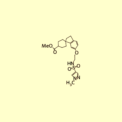 COC(=O)C1CCC2(CCc3ccc(OCCNS(=O)(=O)c4cnn(C)c4)cc32)CC1